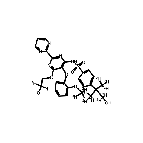 [2H]C([2H])(O)COc1nc(-c2ncccn2)nc(NS(=O)(=O)c2ccc(C(C([2H])([2H])[2H])(C([2H])([2H])[2H])C([2H])([2H])O)cc2)c1Oc1ccccc1OC([2H])([2H])C